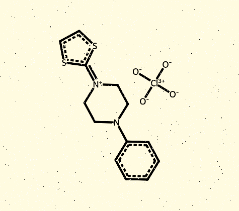 [O-][Cl+3]([O-])([O-])[O-].c1ccc(N2CC[N+](=c3sccs3)CC2)cc1